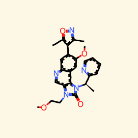 COCCn1c(=O)n([C@H](C)c2ccccn2)c2c3cc(OC)c(-c4c(C)noc4C)cc3ncc21